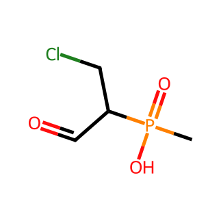 CP(=O)(O)C(C=O)CCl